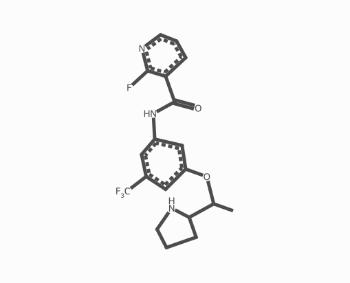 CC(Oc1cc(NC(=O)c2cccnc2F)cc(C(F)(F)F)c1)C1CCCN1